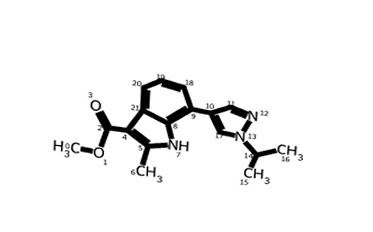 COC(=O)c1c(C)[nH]c2c(-c3cnn(C(C)C)c3)cccc12